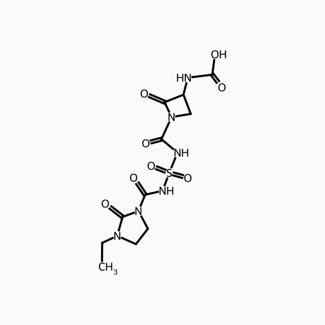 CCN1CCN(C(=O)NS(=O)(=O)NC(=O)N2CC(NC(=O)O)C2=O)C1=O